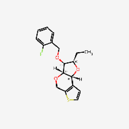 CC[C@H]1O[C@@H]2c3ccsc3CO[C@@H]2[C@H]1OCc1ccccc1F